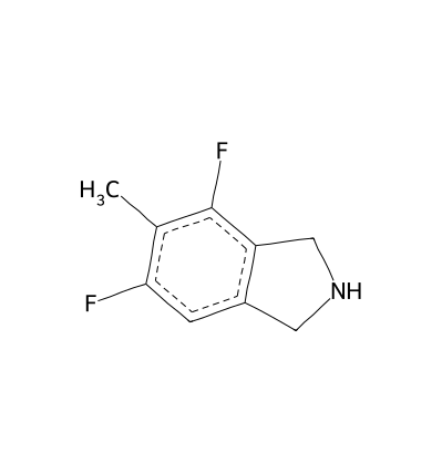 Cc1c(F)cc2c(c1F)CNC2